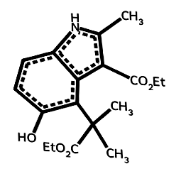 CCOC(=O)c1c(C)[nH]c2ccc(O)c(C(C)(C)C(=O)OCC)c12